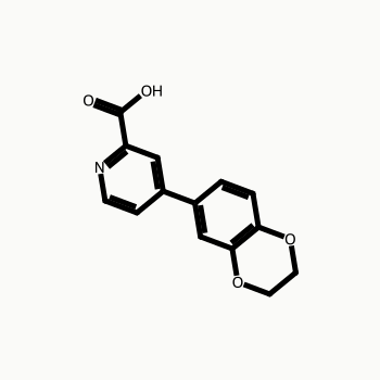 O=C(O)c1cc(-c2ccc3c(c2)OCCO3)ccn1